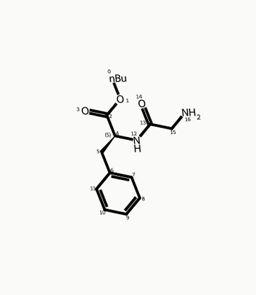 CCCCOC(=O)[C@H](Cc1ccccc1)NC(=O)CN